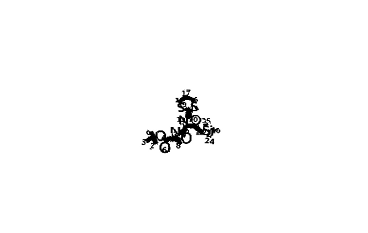 CC(C)(C)OC(=O)c1coc(-c2nc(C3SCCCS3)oc2C[Si](C)(C)C)n1